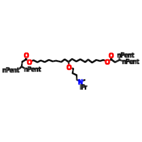 CCCCCC(CCCCC)CC(=O)OCCCCCCCCCC(CCCCCCCCCOC(=O)CC(CCCCC)CCCCC)OCCCCN(C)C(C)C